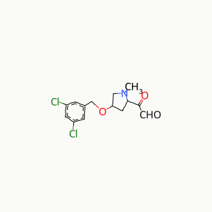 CN1CC(OCc2cc(Cl)cc(Cl)c2)CC1C(=O)C=O